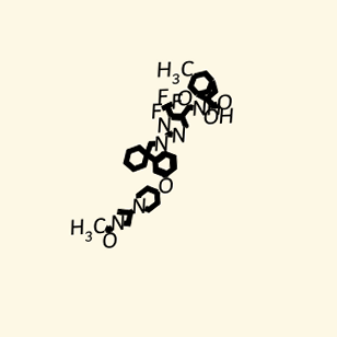 CC(=O)N1CC(N2CCC(Oc3ccc4c(c3)C3(CCCCC3)CN4c3ncc(C(=O)NC4(C(=O)O)CC5CC(C)CC4C5)c(C(F)(F)F)n3)CC2)C1